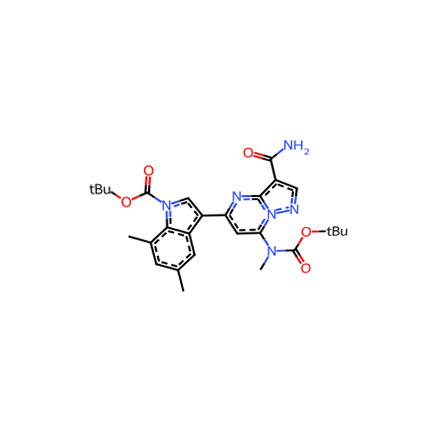 Cc1cc(C)c2c(c1)c(-c1cc(N(C)C(=O)OC(C)(C)C)n3ncc(C(N)=O)c3n1)cn2C(=O)OC(C)(C)C